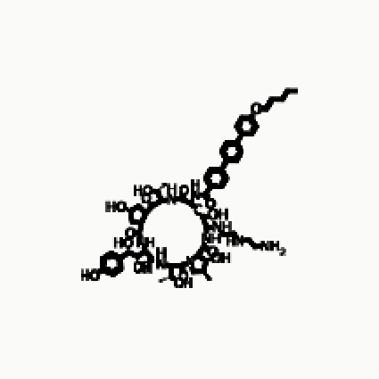 CCCCCOc1ccc(-c2ccc(-c3ccc(C(=O)N[C@H]4C[C@@H](O)C(NCCNCCN)NC(=O)C5[C@@H](O)[C@@H](C)CN5C(=O)C([C@@H](C)O)NC(=O)C([C@H](O)[C@@H](O)c5ccc(O)cc5)NC(=O)C5C[C@@H](O)CC5C(=O)C([C@@H](C)O)NC4=O)cc3)cc2)cc1